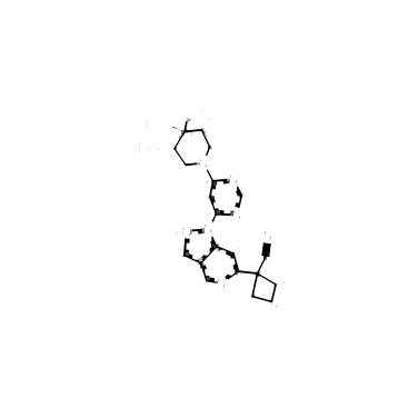 C[C@@H]1CN(c2cc(-n3ncc4cnc(C5(C#N)CCC5)cc43)ncn2)C[C@H](C)[C@]1(C)O